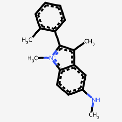 CNc1ccc2c(c1)c(C)c(-c1ccccc1C)n2C